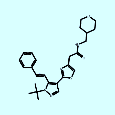 CC(C)(C)n1ncc(-c2nc(CC(=O)NCC3CCOCC3)cs2)c1/C=C/c1ccccc1